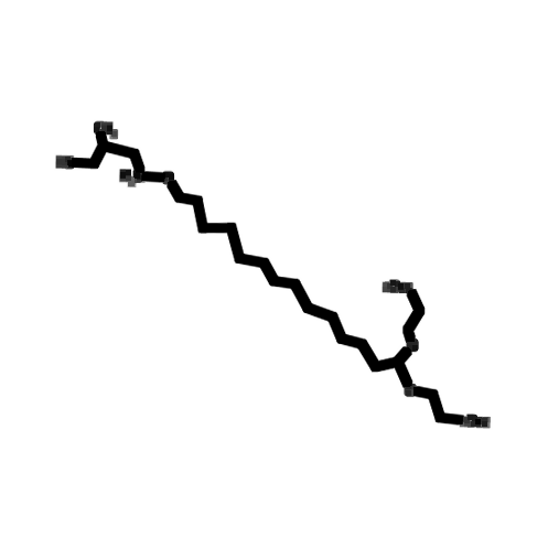 CCCCCCCCCCCCOC(CCCCCCCCCCCCCO[SiH2]CC(C)CS)OCCCCCCCCCCCC